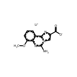 COc1cccc2c1nc(N)n1cc(C(=O)[O-])nc21.[Li+]